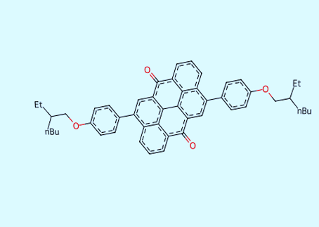 CCCCC(CC)COc1ccc(-c2cc3c4c5c2cccc5c(=O)c2cc(-c5ccc(OCC(CC)CCCC)cc5)c5cccc(c3=O)c5c2-4)cc1